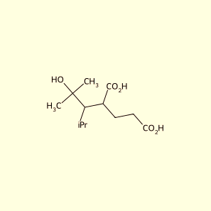 CC(C)C(C(CCC(=O)O)C(=O)O)C(C)(C)O